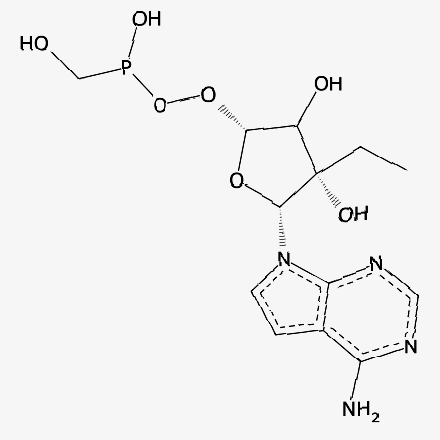 CC[C@]1(O)C(O)[C@@H](OOP(O)CO)O[C@H]1n1ccc2c(N)ncnc21